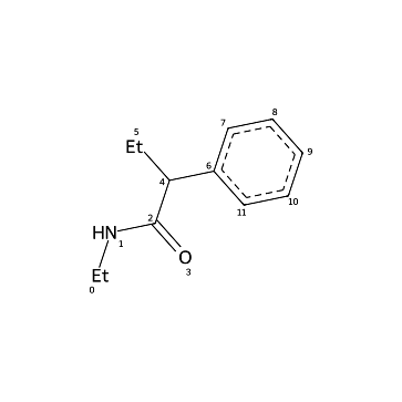 CCNC(=O)C(CC)c1ccccc1